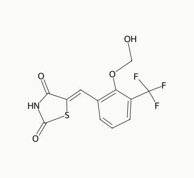 O=C1NC(=O)/C(=C/c2cccc(C(F)(F)F)c2OCO)S1